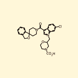 O=C(O)N1CCOC(Cn2cc(C(=O)N3CCC4(CC3)OCc3ccccc34)c3ccc(Cl)cc32)C1